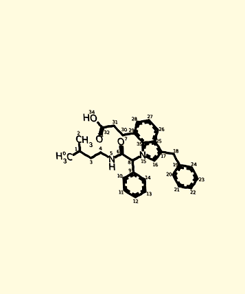 CC(C)CCNC(=O)C(c1ccccc1)n1cc(Cc2ccccc2)c2cccc(CCC(=O)O)c21